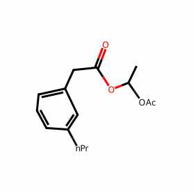 CCCc1cccc(CC(=O)OC(C)OC(C)=O)c1